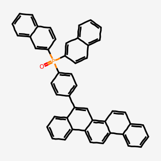 O=P(c1ccc(-c2cc3c(ccc4c5ccccc5ccc43)c3ccccc23)cc1)(c1ccc2ccccc2c1)c1ccc2ccccc2c1